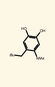 CCC(C)Cc1cc(O)c(O)cc1NC